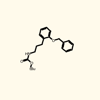 CC(C)(C)OC(=O)NCCCc1ccccc1OCc1ccccc1